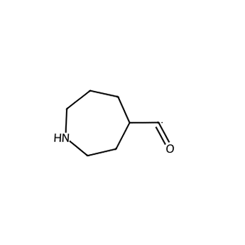 O=[C]C1CCCNCC1